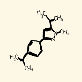 CC(C)c1ccc(-c2cc(C(C)C)n(C)n2)cc1